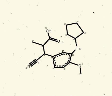 COc1ccc(C(C#N)C(C)C(=O)O)cc1OC1CCCC1